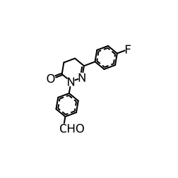 O=Cc1ccc(N2N=C(c3ccc(F)cc3)CCC2=O)cc1